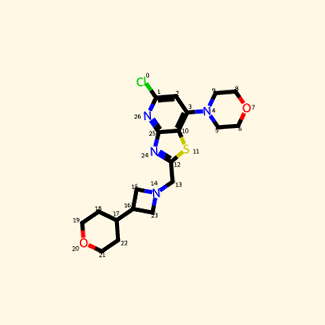 Clc1cc(N2CCOCC2)c2sc(CN3CC(C4CCOCC4)C3)nc2n1